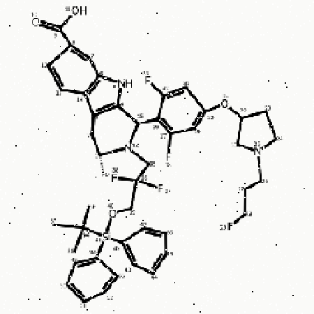 C[C@@H]1Cc2c([nH]c3cc(C(=O)O)ccc23)[C@@H](c2c(F)cc(OC3CCN(CCCF)C3)cc2F)N1CC(F)(F)CO[Si](c1ccccc1)(c1ccccc1)C(C)(C)C